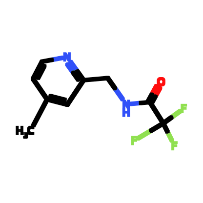 Cc1ccnc(CNC(=O)C(F)(F)F)c1